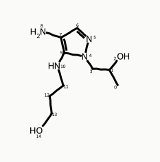 CC(O)Cn1ncc(N)c1NCCCO